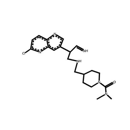 CN(C)C(=O)N1CCC(CNCC(C=N)c2cnc3ccc(Cl)nc3c2)CC1